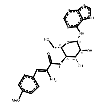 COc1ccc(C=C(N)C(=O)N[C@@H]2[C@@H](O)[C@H](O)[C@@H](Nc3ncnc4nc[nH]c34)O[C@H]2CO)cc1